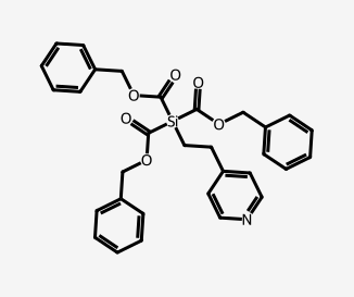 O=C(OCc1ccccc1)[Si](CCc1ccncc1)(C(=O)OCc1ccccc1)C(=O)OCc1ccccc1